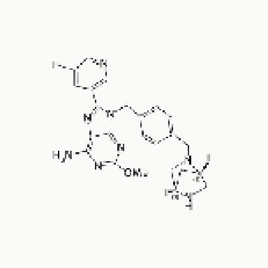 COc1nc(N)c2nc(-c3cncc(F)c3)n(Cc3ccc(CN4C[C@@H]5C[C@H]4CN5)cc3)c2n1